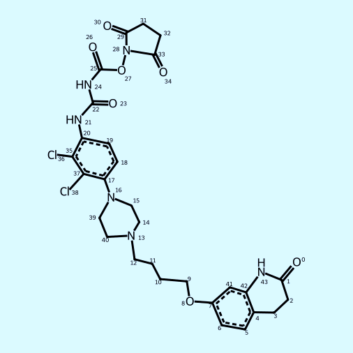 O=C1CCc2ccc(OCCCCN3CCN(c4ccc(NC(=O)NC(=O)ON5C(=O)CCC5=O)c(Cl)c4Cl)CC3)cc2N1